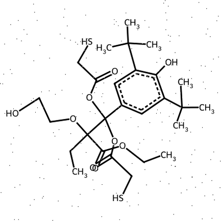 CCOC(=O)C(CC)(OCCO)C(OC(=O)CS)(OC(=O)CS)c1cc(C(C)(C)C)c(O)c(C(C)(C)C)c1